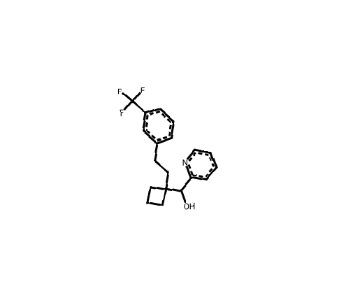 OC(c1ccccn1)C1(CCc2cccc(C(F)(F)F)c2)CCC1